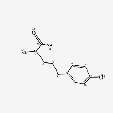 CCN(CCCc1ccc(Cl)cc1)C(=O)S